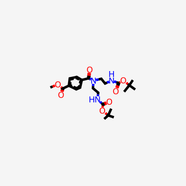 COC(=O)c1ccc(C(=O)N(CCNC(=O)OC(C)(C)C)CCNC(=O)OC(C)(C)C)cc1